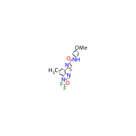 COc1ccc(NC(=O)c2csc(-c3cc(C)cc4nc(OC(F)F)cnc34)n2)cc1